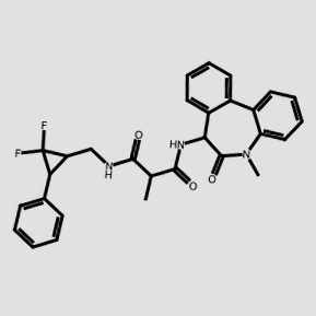 CC(C(=O)NCC1C(c2ccccc2)C1(F)F)C(=O)NC1C(=O)N(C)c2ccccc2-c2ccccc21